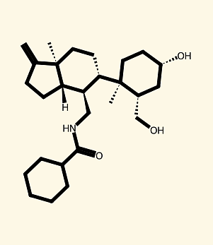 C=C1CC[C@H]2[C@H](CNC(=O)C3CCCCC3)[C@@H]([C@@]3(C)CC[C@H](O)C[C@@H]3CO)CC[C@]12C